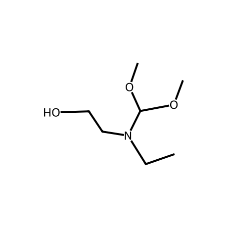 CCN(CCO)C(OC)OC